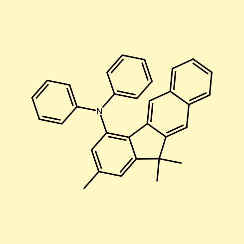 Cc1cc(N(c2ccccc2)c2ccccc2)c2c(c1)C(C)(C)c1cc3ccccc3cc1-2